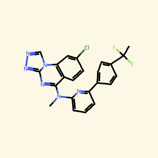 CN(c1cccc(-c2ccc(C(C)(F)F)cc2)n1)c1nc2nncn2c2cc(Cl)ccc12